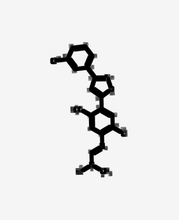 CCN(C)C=Nc1cc(C)c(-c2cc(-c3cccc(Cl)c3)no2)cc1Cl